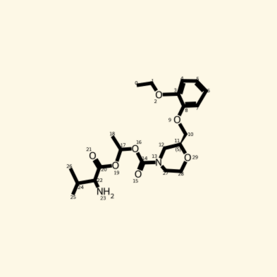 CCOc1ccccc1OC[C@@H]1CN(C(=O)OC(C)OC(=O)C(N)C(C)C)CCO1